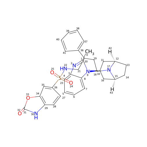 Cc1nc2ccccc2n1[C@H]1C[C@H]2CC[C@@H](C1)N2CCC(CNS(=O)(=O)c1ccc2[nH]c(=O)oc2c1)c1ccccc1